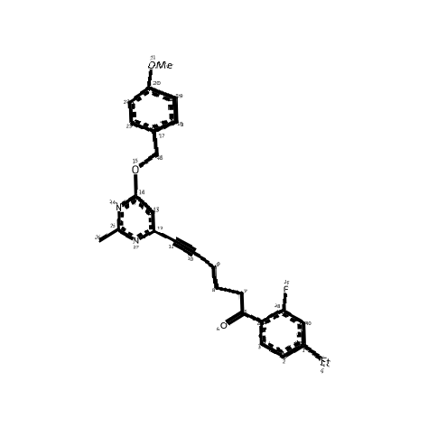 CCc1ccc(C(=O)CCCC#Cc2cc(OCc3ccc(OC)cc3)nc(C)n2)c(F)c1